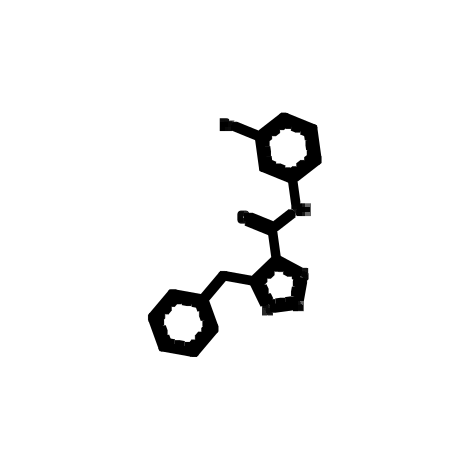 O=C(Nc1cccc(Br)c1)c1snnc1Cc1ccccc1